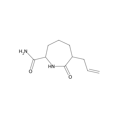 C=CCC1CCCC(C(N)=O)NC1=O